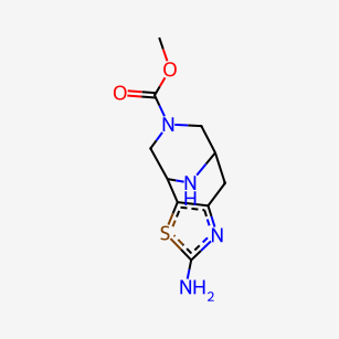 COC(=O)N1CC2Cc3nc(N)sc3C(C1)N2